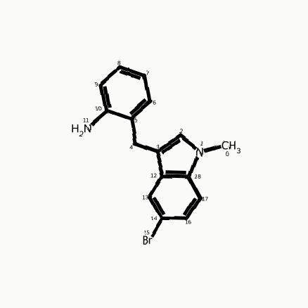 Cn1cc(Cc2ccccc2N)c2cc(Br)ccc21